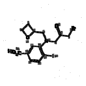 O=C(CBr)CN(CC1CCO1)c1cc(C(=O)O)ccc1I